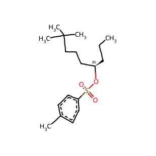 CCC[C@H](CCCC(C)(C)C)OS(=O)(=O)c1ccc(C)cc1